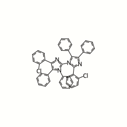 Clc1ccccc1-c1nc(-n2c(-c3ccccc3Cl)nc(-c3ccccc3)c2-c2ccccc2)n(-c2ccccc2)c1-c1ccccc1